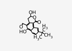 CC(C)(C)c1ccc2c(O)c(C=O)c3c(c2c1)C(=O)OC(O)C3